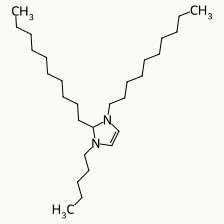 CCCCCCCCCCC1N(CCCCC)C=CN1CCCCCCCCCC